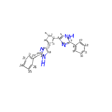 Cc1cc(-c2c[nH]c(-c3ccccc3)n2)cc(-c2c[nH]c(-c3ccccc3)n2)c1